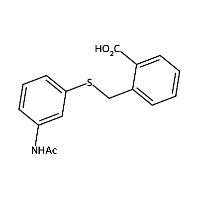 CC(=O)Nc1cccc(SCc2ccccc2C(=O)O)c1